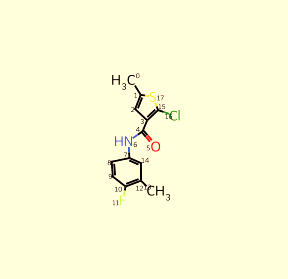 Cc1cc(C(=O)Nc2ccc(F)c(C)c2)c(Cl)s1